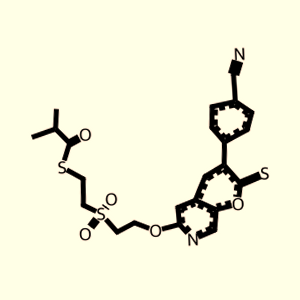 CC(C)C(=O)SCCS(=O)(=O)CCOc1cc2cc(-c3ccc(C#N)cc3)c(=S)oc2cn1